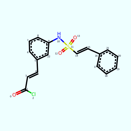 O=C(Cl)/C=C/c1cccc(NS(=O)(=O)/C=C/c2ccccc2)c1